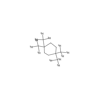 [2H]C([2H])([2H])C1(C([2H])([2H])[2H])CCC(C([2H])([2H])[2H])(C([2H])([2H])[2H])CC1